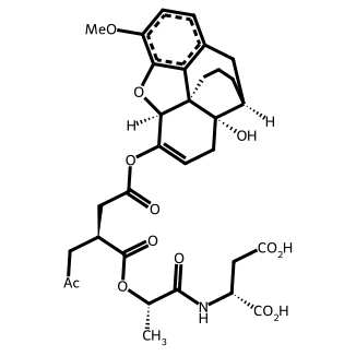 COc1ccc2c3c1O[C@@H]1C(OC(=O)C[C@H](CC(C)=O)C(=O)O[C@@H](C)C(=O)N[C@H](CC(=O)O)C(=O)O)=CC[C@]4(O)[C@@H](CCC[C@@]314)C2